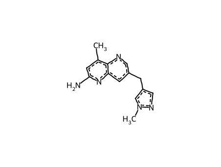 Cc1cc(N)nc2cc(Cc3cnn(C)c3)cnc12